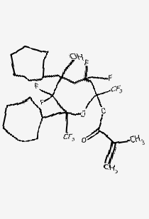 C=C(C)C(=O)OC1(C(F)(F)F)OC(C2CCCCC2)(C(F)(F)F)C(F)(F)C(O)(C2CCCCC2)C1(F)F